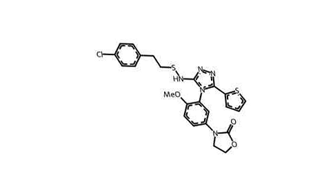 COc1ccc(N2CCOC2=O)cc1-n1c(NSCCc2ccc(Cl)cc2)nnc1-c1cccs1